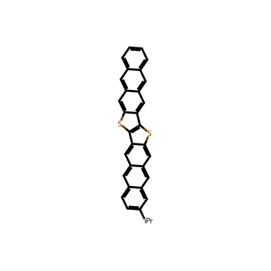 CC(C)c1ccc2cc3cc4c(cc3cc2c1)sc1c2cc3cc5ccccc5cc3cc2sc41